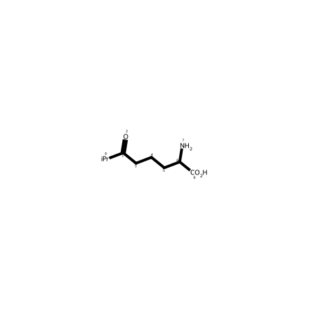 CC(C)C(=O)CCCC(N)C(=O)O